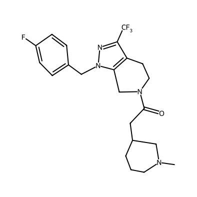 CN1CCCC(CC(=O)N2CCc3c(C(F)(F)F)nn(Cc4ccc(F)cc4)c3C2)C1